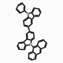 c1ccc(-n2c3ccccc3c3cc(-c4ccc5c(c4)c4ccccc4n5-c4c5ccccc5cc5ccccc45)ccc32)cc1